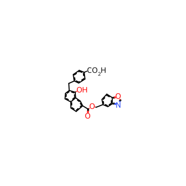 O=C(O)c1ccc(Cc2ccc3ccc(C(=O)OCc4ccc5ocnc5c4)cc3c2O)cc1